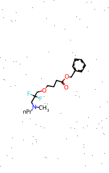 CCCN(C)CC(F)(F)COCCCC(=O)OCc1ccccc1